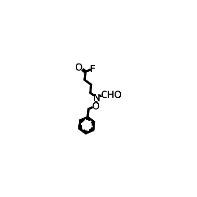 O=CN(CCCC(=O)F)OCc1ccccc1